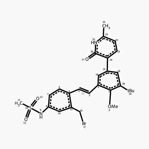 COc1c(/C=C/c2ccc(NS(C)(=O)=O)cc2CBr)cc(-c2ccc(C)[nH]c2=O)cc1C(C)(C)C